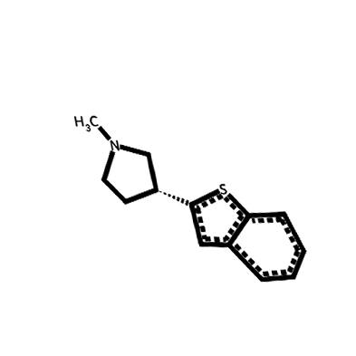 CN1CC[C@@H](c2cc3ccccc3s2)C1